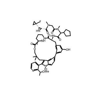 CCn1c(-c2cccnc2[C@H](C)OC)c2c3cc(ccc31)-c1cc(O)cc(c1)C[C@H](NC(=O)C(C1CCCC1)N(C)C(=O)CN(C)C(=O)[C@@H]1N[C@@H]1C1(F)CC1)C(=O)N1CCC[C@H](N1)C(=O)OCC(C)(C)C2